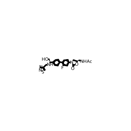 CC(=O)NC[C@H]1CN(c2ccc(-c3ccc([C@H](CO)NCc4csnn4)cc3)c(F)c2)C(=O)O1